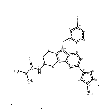 CC(C)C(=O)NC1CCc2c(c3cc(-c4nnc(N)s4)ccc3n2Cc2cccc(F)c2)C1